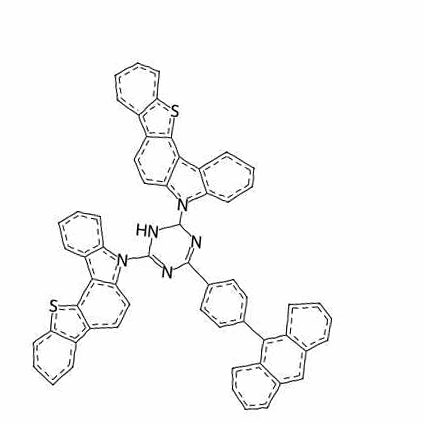 c1ccc2c(-c3ccc(C4=NC(n5c6ccccc6c6c7sc8ccccc8c7ccc65)NC(n5c6ccccc6c6c7sc8ccccc8c7ccc65)=N4)cc3)c3ccccc3cc2c1